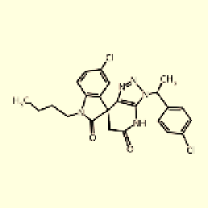 CCCCN1C(=O)[C@]2(CC(=O)Nc3c2nnn3[C@@H](C)c2ccc(Cl)cc2)c2cc(Cl)ccc21